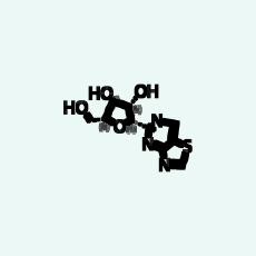 OC[C@H]1O[C@@H](c2ncc3scnc3n2)[C@@H](O)[C@@H]1O